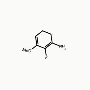 COC1=CC[CH]C(N)=C1F